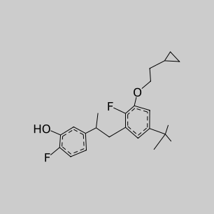 CC(Cc1cc(C(C)(C)C)cc(OCCC2CC2)c1F)c1ccc(F)c(O)c1